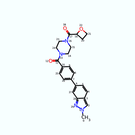 Cn1cc2ccc(-c3ccc(C(=O)N4CCN(C(=O)C5CCO5)CC4)cc3)cc2n1